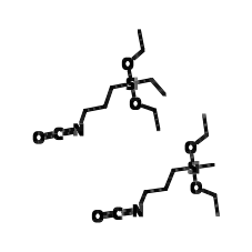 CCO[Si](C)(CCCN=C=O)OCC.CCO[Si](CC)(CCCN=C=O)OCC